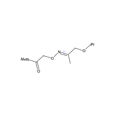 CNC(=O)CO/N=C(\C)COC(C)C